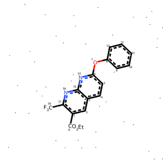 CCOC(=O)c1cc2ccc(Oc3ccccc3)nc2nc1C(F)(F)F